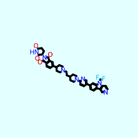 O=C1CCC(N2C(=O)c3ccc(C4CCN(CCC5CCN(c6ccc(-c7ccc8c9cnccc9n(C(F)F)c8c7)cn6)CC5)CC4)cc3C2=O)C(=O)N1